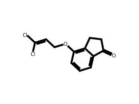 O=C1CCc2c(OCC=C(Cl)Cl)cccc21